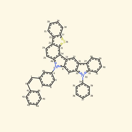 C(=C/c1cccc(-n2c3cc4c(cc3c3c5sc6ccccc6c5ccc32)c2ccccc2n4-c2ccccc2)c1)/c1ccccc1